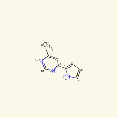 Cc1cc(-c2ccc[nH]2)ncn1